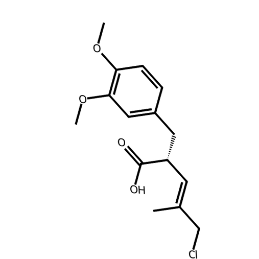 COc1ccc(C[C@H](/C=C(\C)CCl)C(=O)O)cc1OC